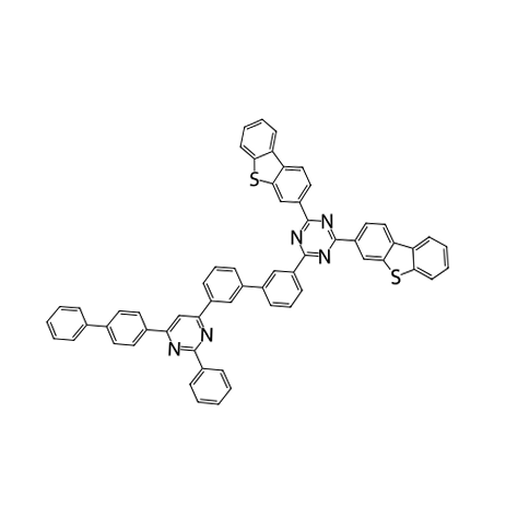 c1ccc(-c2ccc(-c3cc(-c4cccc(-c5cccc(-c6nc(-c7ccc8c(c7)sc7ccccc78)nc(-c7ccc8c(c7)sc7ccccc78)n6)c5)c4)nc(-c4ccccc4)n3)cc2)cc1